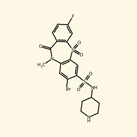 CC(C)c1cc2c(cc1S(=O)(=O)NC1CCNCC1)S(=O)(=O)c1cc(F)ccc1C(=O)N2C